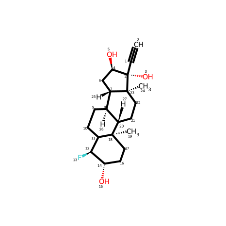 C#C[C@]1(O)[C@H](O)C[C@H]2[C@@H]3CCC4[C@H](F)[C@@H](O)CC[C@]4(C)[C@H]3CC[C@@]21C